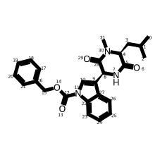 CC(C)C[C@H]1C(=O)N[C@@H](c2cn(C(=O)OCc3ccccc3)c3ccccc23)C(=O)N1C